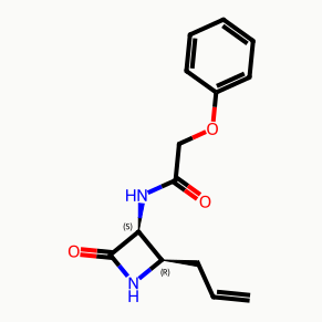 C=CC[C@H]1NC(=O)[C@H]1NC(=O)COc1ccccc1